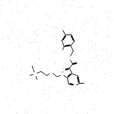 COc1ccc(CNC(=O)c2nn(COCC[Si](C)(C)C)c3cnc(C)cc23)c(OC)c1